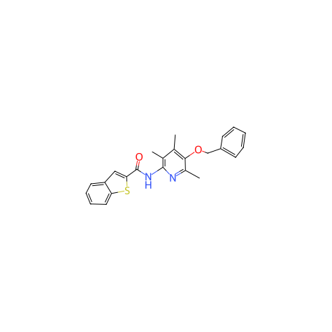 Cc1nc(NC(=O)c2cc3ccccc3s2)c(C)c(C)c1OCc1ccccc1